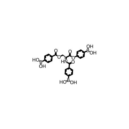 O=C(N[C@@H](COC(=O)c1ccc(B(O)O)cc1)C(=O)Oc1ccc(B(O)O)cc1)c1ccc(B(O)O)cc1